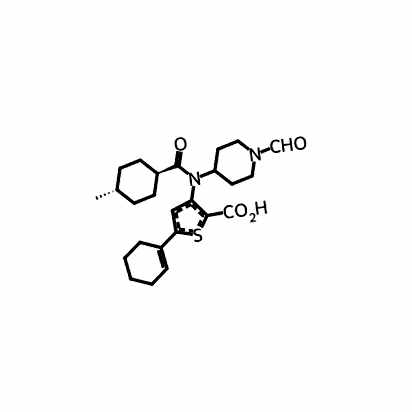 C[C@H]1CC[C@H](C(=O)N(c2cc(C3=CCCCC3)sc2C(=O)O)C2CCN(C=O)CC2)CC1